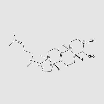 CC(C)=CCC[C@@H](C)[C@H]1CC[C@H]2C3=C(CC[C@]12C)[C@@]1(C)CC[C@H](O)C(C=O)[C@@H]1CC3